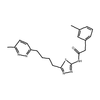 Cc1cccc(CC(=O)Nc2nnc(CCCCc3ccc(C)nn3)s2)c1